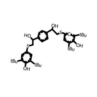 CC(C)(C)c1cc(SCC(O)c2ccc(C(O)CSc3cc(C(C)(C)C)c(O)c(C(C)(C)C)c3)cc2)cc(C(C)(C)C)c1O